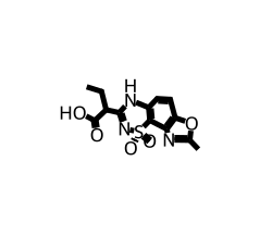 CCC(C(=O)O)C1=NS(=O)(=O)c2c(ccc3oc(C)nc23)N1